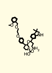 COc1ccccc1COCCCOc1ccc(C2CCN(C(=O)O)CC2OC(CCN)c2ccc3c(c2)NCC3(C)C)cc1